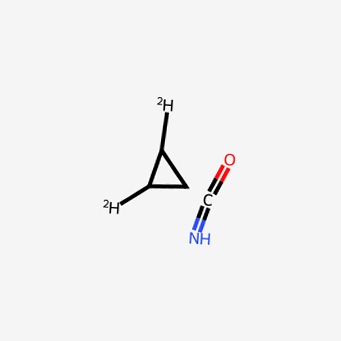 N=C=O.[2H]C1CC1[2H]